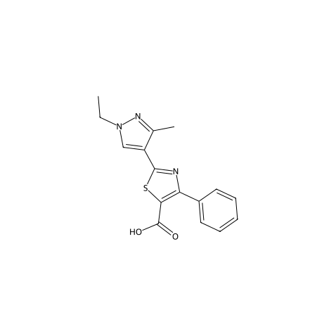 CCn1cc(-c2nc(-c3ccccc3)c(C(=O)O)s2)c(C)n1